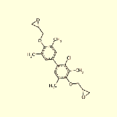 Cc1cc(-c2cc(C)c(OCC3CO3)c(C)c2Cl)cc(C)c1OCC1CO1